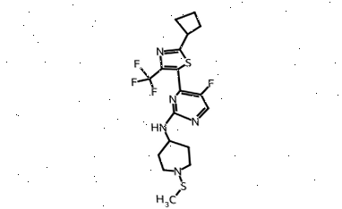 CSN1CCC(Nc2ncc(F)c(-c3sc(C4CCC4)nc3C(F)(F)F)n2)CC1